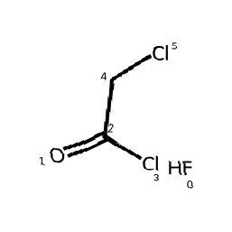 F.O=C(Cl)CCl